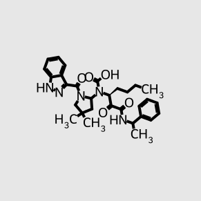 CCCC[C@@H](C(=O)C(=O)NC(C)c1ccccc1)N(C(=O)O)C1CC(C)(C)CN1C(=O)c1n[nH]c2ccccc12